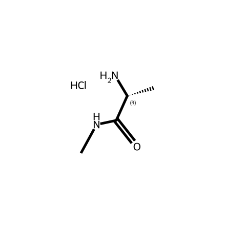 CNC(=O)[C@@H](C)N.Cl